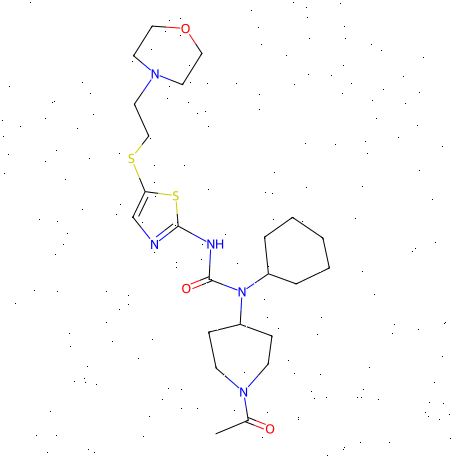 CC(=O)N1CCC(N(C(=O)Nc2ncc(SCCN3CCOCC3)s2)C2CCCCC2)CC1